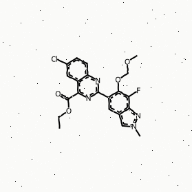 CCOC(=O)c1nc(-c2cc3cn(C)nc3c(F)c2OCOC)nc2ccc(Cl)cc12